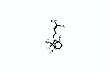 CC(C)=CCC[C@@H]1[C@H]2CC[C@H](C2)C1(C)C